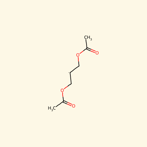 CC(=O)OC[CH]COC(C)=O